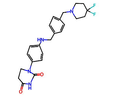 O=C1CCN(c2ccc(NCc3ccc(CN4CCC(F)(F)CC4)cc3)cc2)C(=O)N1